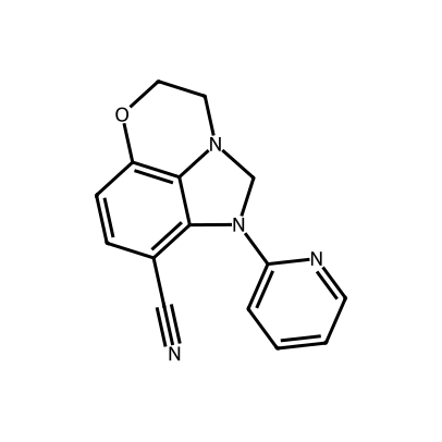 N#Cc1ccc2c3c1N(c1ccccn1)CN3CCO2